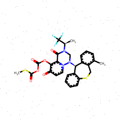 CSC(=O)OC(=O)Oc1c2n(ccc1=O)N([C@@H]1c3ccccc3SCc3c(C)cccc31)CN([C@H](C)C(F)(F)F)C2=O